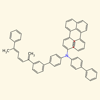 C=C(/C=C\C=C(/C)c1ccccc1)c1cccc(-c2ccc(N(c3ccc(-c4ccccc4)cc3)c3ccc(-c4cccc5cccc(-c6ccccc6)c45)cc3)cc2)c1